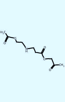 CC(=O)COC(=O)CCNCCOC(C)=O